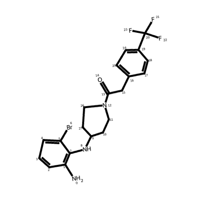 Nc1cccc(Br)c1NC1CCN(C(=O)Cc2ccc(C(F)(F)F)cc2)CC1